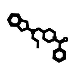 CCCN(CC1CCN(C(=O)c2ccccc2)CC1)C1Cc2ccccc2C1